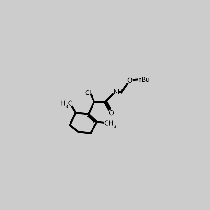 CCCCOCNC(=O)C(Cl)C1=C(C)CCCC1C